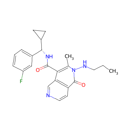 CCCNn1c(C)c(C(=O)N[C@H](c2cccc(F)c2)C2CC2)c2cnccc2c1=O